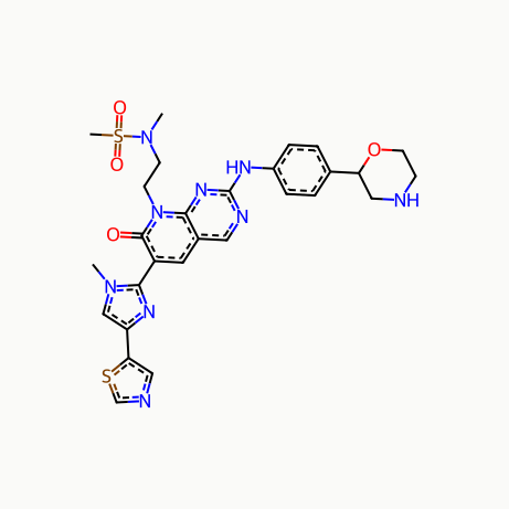 CN(CCn1c(=O)c(-c2nc(-c3cncs3)cn2C)cc2cnc(Nc3ccc(C4CNCCO4)cc3)nc21)S(C)(=O)=O